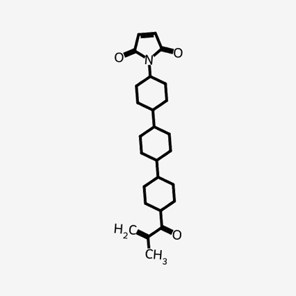 C=C(C)C(=O)C1CCC(C2CCC(C3CCC(N4C(=O)C=CC4=O)CC3)CC2)CC1